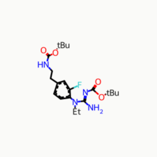 CCN(C(N)=NC(=O)OC(C)(C)C)c1ccc(CCNC(=O)OC(C)(C)C)cc1F